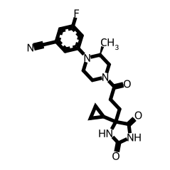 C[C@H]1CN(C(=O)CCC2(C3CC3)NC(=O)NC2=O)CCN1c1cc(F)cc(C#N)c1